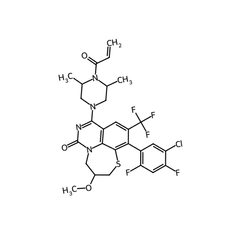 C=CC(=O)N1C(C)CN(c2nc(=O)n3c4c(c(-c5cc(Cl)c(F)cc5F)c(C(F)(F)F)cc24)SCC(OC)C3)CC1C